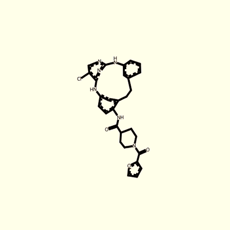 O=C(Nc1ccc2cc1CCc1cccc(c1)Nc1ncc(Cl)c(n1)N2)C1CCN(C(=O)c2ccco2)CC1